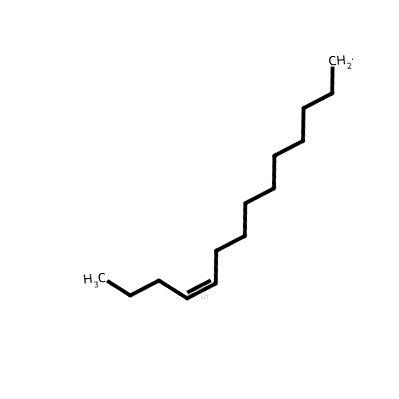 [CH2]CCCCCCCC/C=C\CCC